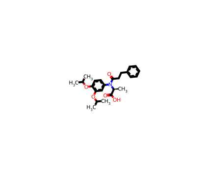 CC(C)Oc1ccc(N(C(=O)CCc2ccccc2)[C@@H](C)C(=O)O)cc1OC(C)C